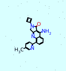 Cc1ccc(-c2cccc3c(N)c4c(nc23)CN(C2=CC=C2)C4=O)nc1